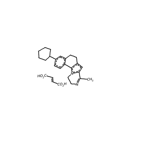 CC1=NCCn2c1cc1c2-c2ccc(C3CCCCC3)cc2CC1.O=C(O)C=CC(=O)O